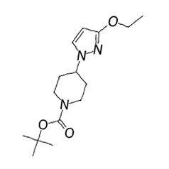 CCOc1ccn(C2CCN(C(=O)OC(C)(C)C)CC2)n1